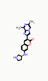 Cc1cn2cc(-c3cc4ccc(N[C@H]5CCNC5)cc4oc3=O)nc2c(C)n1